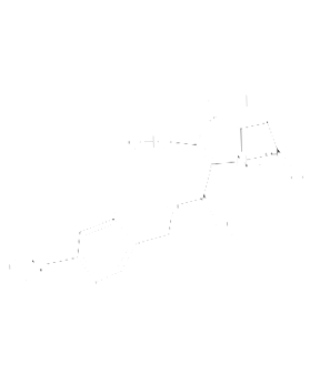 O=CC1=C(C(=O)OCc2ccc([N+](=O)[O-])cc2)N2C(=O)C[C@@H]2S1